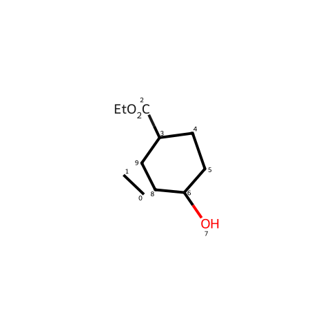 CC.CCOC(=O)C1CCC(O)CC1